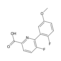 COc1ccc(F)c(-c2nc(C(=O)O)ccc2F)c1